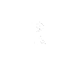 COc1ncnc(C2CC2)c1-c1ncc(OC(F)F)c(OCc2ccc(-c3nc(C(F)(F)F)cn3C)cc2)n1